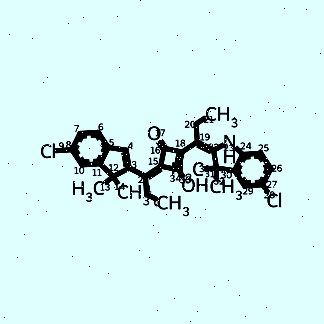 CC/C(C1=Cc2ccc(Cl)cc2C1(C)C)=C1/C(=O)C(C(/CC)=C2/Nc3ccc(Cl)cc3C2(C)C)=C1O